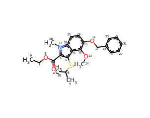 CCOC(=O)c1c(SC(C)C)c2c(OC)c(OCc3ccccc3)ccc2n1C